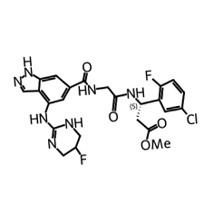 COC(=O)C[C@H](NC(=O)CNC(=O)c1cc(NC2=NCC(F)CN2)c2cn[nH]c2c1)c1cc(Cl)ccc1F